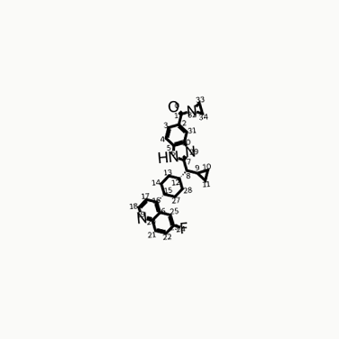 O=C(c1ccc2[nH]c(C(C3CC3)[C@H]3CC[C@@H](c4ccnc5ccc(F)cc54)CC3)nc2c1)N1CC1